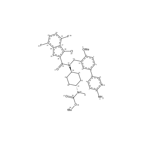 COc1ccc(-c2ccc(N)nc2)cc1CN(C(=O)c1sc2c(F)ccc(F)c2c1Cl)[C@H]1CC[C@H](N(C)C(=O)OC(C)(C)C)CC1